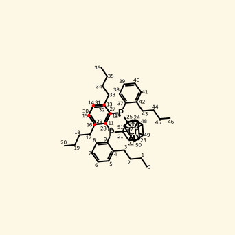 CCCCc1ccccc1P(c1ccccc1CCCC)[C]12[CH]3[CH]4[CH]5[C]1(P(c1ccccc1CCCC)c1ccccc1CCCC)[Cr]43521678[CH]2[CH]1[CH]6[CH]7[CH]28